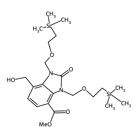 COC(=O)c1ccc(CO)c2c1n(COCC[Si](C)(C)C)c(=O)n2COCC[Si](C)(C)C